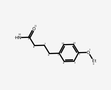 CCOc1ccc(CCCC([NH])=O)cc1